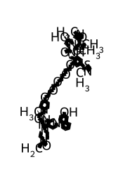 C=CC(=O)N1CCN(c2nc(O[C@H](C)CN3CCC(OCCOCCOCCOCCOc4cc(-c5scnc5C)ccc4CNC(=O)[C@@H]4C[C@@H](O)CN4C(=O)[C@@H](c4cc(C)no4)C(C)C)CC3)nc3c2CCN(c2cc(O)cc4ccccc24)C3)CC1